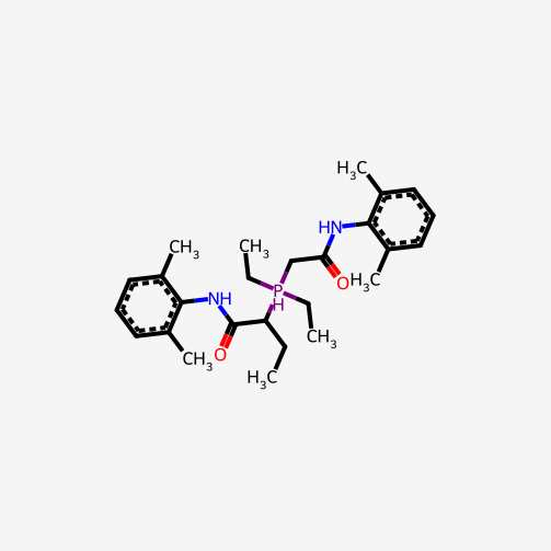 CCC(C(=O)Nc1c(C)cccc1C)[PH](CC)(CC)CC(=O)Nc1c(C)cccc1C